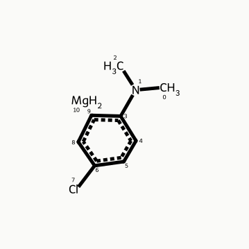 CN(C)c1ccc(Cl)cc1.[MgH2]